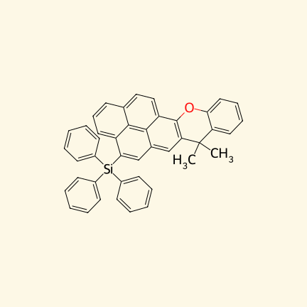 CC1(C)c2ccccc2Oc2c1cc1cc([Si](c3ccccc3)(c3ccccc3)c3ccccc3)c3cccc4ccc2c1c43